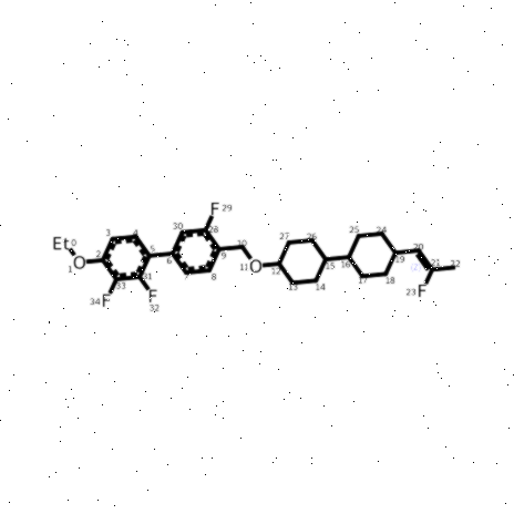 CCOc1ccc(-c2ccc(COC3CCC(C4CCC(/C=C(/C)F)CC4)CC3)c(F)c2)c(F)c1F